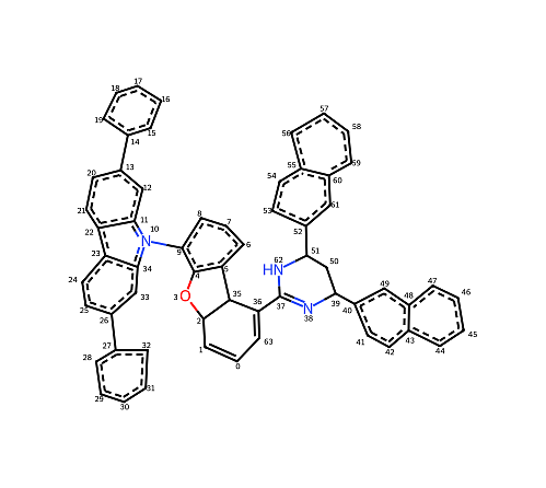 C1=CC2Oc3c(cccc3-n3c4cc(-c5ccccc5)ccc4c4ccc(-c5ccccc5)cc43)C2C(C2=NC(c3ccc4ccccc4c3)CC(c3ccc4ccccc4c3)N2)=C1